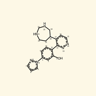 Oc1cc(-n2cccn2)ccc1-c1nnccc1C1CCNCNC1